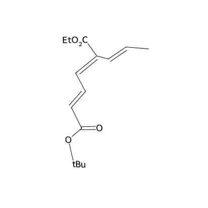 CC=CC(=CC=CC(=O)OC(C)(C)C)C(=O)OCC